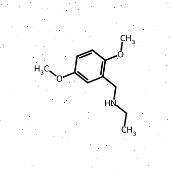 CCNCc1cc(OC)ccc1OC